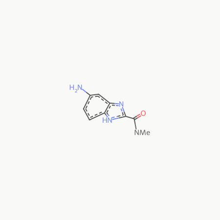 CNC(=O)c1nc2cc(N)ccc2[nH]1